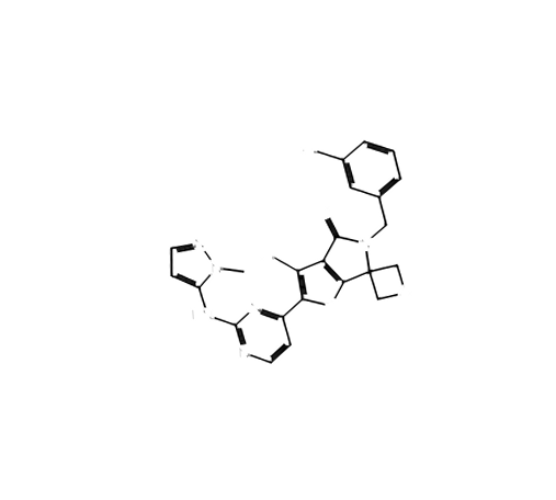 Cn1nccc1Nc1nccc(-c2sc3c(c2Cl)C(=O)N(Cc2cccc(Cl)c2)C32COC2)n1